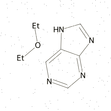 CCOCC.c1ncc2[nH]cnc2n1